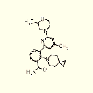 Cc1cc(-c2cccc(C(N)=O)c2N2CCC3(CC2)CC3)nc(N2CCOC(C)C2)c1